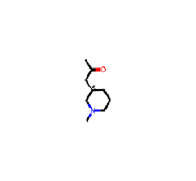 CC(=O)C[C@H]1CCCN(C)C1